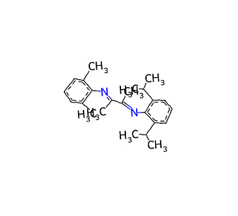 CC(=Nc1c(C)cccc1C)C(C)=Nc1c(C(C)C)cccc1C(C)C